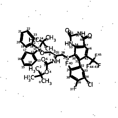 CC(C)(C)OC(=O)N[C@@H](CO[Si](c1ccccc1)(c1ccccc1)C(C)(C)C)CSc1c(-c2cc(Cl)c(F)cc2F)c(C(F)(F)F)cc2c(=O)[nH]c(=O)[nH]c12